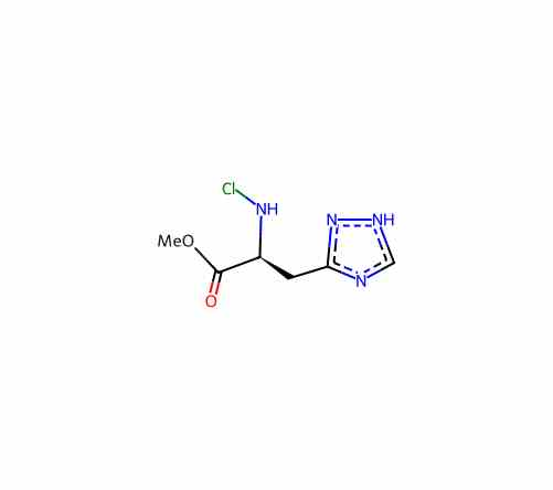 COC(=O)[C@H](Cc1nc[nH]n1)NCl